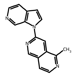 Cc1nccc2cnc(-n3ccc4ccncc43)cc12